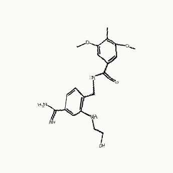 COc1cc(C(=O)NCc2ccc(C(=N)N)cc2NCCO)cc(OC)c1C